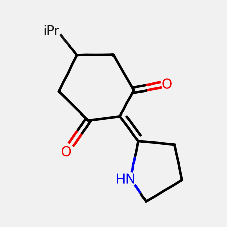 CC(C)C1CC(=O)C(=C2CCCN2)C(=O)C1